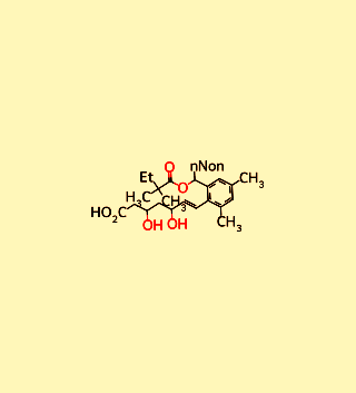 CCCCCCCCCC(OC(=O)C(C)(C)CC)c1cc(C)cc(C)c1C=CC(O)CC(O)CC(=O)O